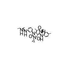 CCNSNc1cccc(-n2c(=O)n(C3CC3)c(=O)c3c(Nc4ccc(C)cc4F)[nH]c(=O)c(C)c32)c1